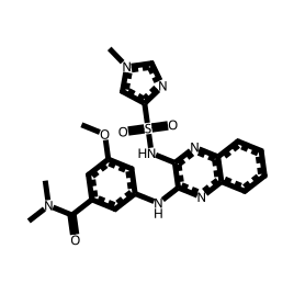 COc1cc(Nc2nc3ccccc3nc2NS(=O)(=O)c2cn(C)cn2)cc(C(=O)N(C)C)c1